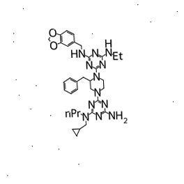 CCCN(CC1CC1)c1nc(N)nc(N2CCN(c3nc(NCC)nc(NCc4ccc5c(c4)OCO5)n3)C(Cc3ccccc3)C2)n1